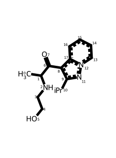 CC(NCCO)C(=O)c1c(C(C)C)nn2ccccc12